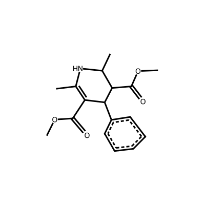 COC(=O)C1=C(C)NC(C)C(C(=O)OC)C1c1ccccc1